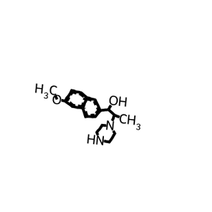 COc1ccc2cc(C(O)C(C)N3CCNCC3)ccc2c1